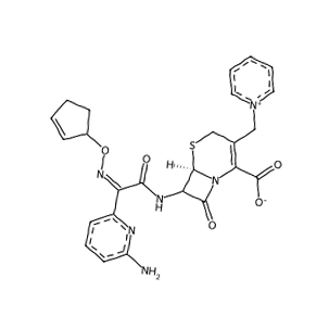 Nc1cccc(/C(=N/OC2C=CCC2)C(=O)NC2C(=O)N3C(C(=O)[O-])=C(C[n+]4ccccc4)CS[C@H]23)n1